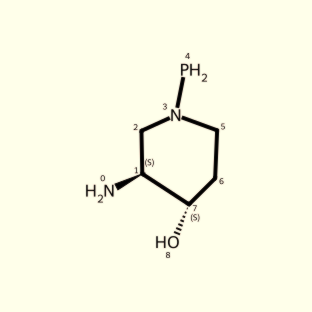 N[C@H]1CN(P)CC[C@@H]1O